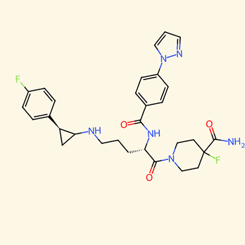 NC(=O)C1(F)CCN(C(=O)[C@H](CCCNC2C[C@H]2c2ccc(F)cc2)NC(=O)c2ccc(-n3cccn3)cc2)CC1